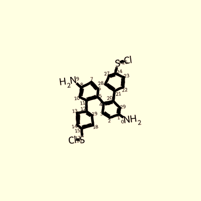 Nc1ccc(-c2ccc(N)cc2-c2ccc(SCl)cc2)c(-c2ccc(SCl)cc2)c1